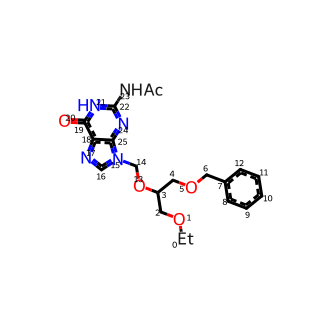 CCOCC(COCc1ccccc1)OCn1cnc2c(=O)[nH]c(NC(C)=O)nc21